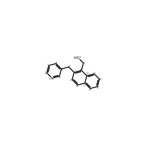 OCc1c(Cc2cccnc2)ccc2ccccc12